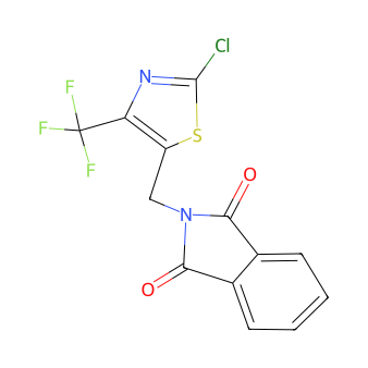 O=C1c2ccccc2C(=O)N1Cc1sc(Cl)nc1C(F)(F)F